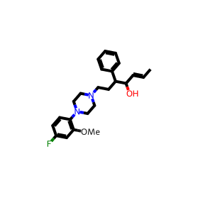 CC=CC(O)C(CCN1CCN(c2ccc(F)cc2OC)CC1)c1ccccc1